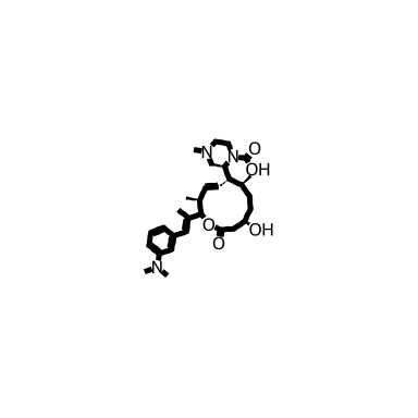 C/C(=C\c1cccc(N(C)C)c1)C1OC(=O)C[C@H](O)CC[C@H](C)[C@@H]([C@H]2CN(C)CCN2C(=O)O)/C=C/[C@@H]1C